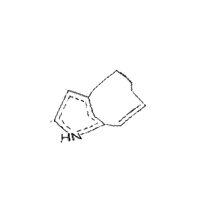 [c]1[c]c2c([nH]1)C=CCC2